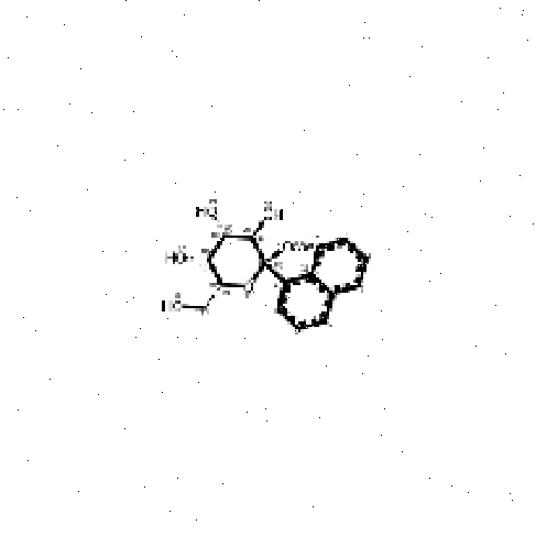 CO[C@@]1(c2cccc3ccccc23)O[C@H](CO)[C@H](O)[C@H](O)[C@H]1O